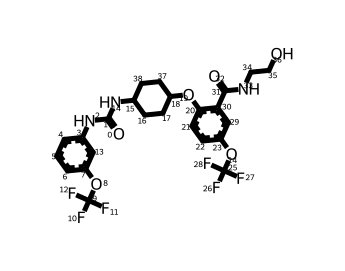 O=C(Nc1cccc(OC(F)(F)F)c1)NC1CCC(Oc2ccc(OC(F)(F)F)cc2C(=O)NCCO)CC1